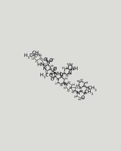 Cc1nc(NCC2CCC(C)(C)CC2)c([N+](=O)[O-])cc1S(=O)(=O)NC(=O)c1ccc(N2CCC3(CC2)CC(N2CCOC[C@H]2c2ccccc2C(C)C)C3)cc1Oc1cnc2[nH]ccc2c1